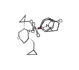 CCCN1C2CCC1CN(C(=O)OC1([C@H]3COC[C@@H](CC4CC4)N3S(=O)(=O)c3ccc(Cl)cc3)CC1)C2